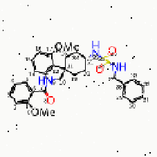 COc1ccccc1C(=O)NC[C@]1(c2ccccc2OC)CC[C@@H](NS(=O)(=O)NCc2ccccc2)CC1